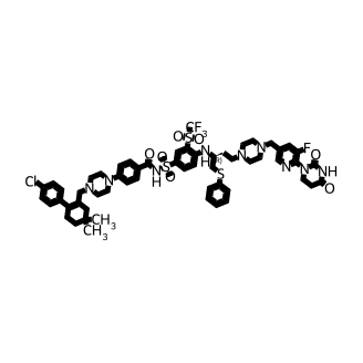 CC1(C)CCC(c2ccc(Cl)cc2)=C(CN2CCN(c3ccc(C(=O)NS(=O)(=O)c4ccc(N[C@H](CCN5CCN(Cc6cnc(N7CCC(=O)NC7=O)c(F)c6)CC5)CSc5ccccc5)c(S(=O)(=O)C(F)(F)F)c4)cc3)CC2)C1